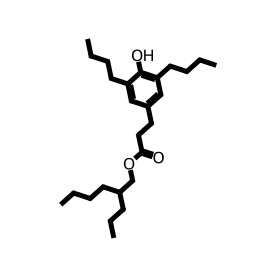 CCCCc1cc(CCC(=O)OCC(CCC)CCCC)cc(CCCC)c1O